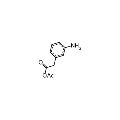 CC(=O)OC(=O)Cc1cccc(N)c1